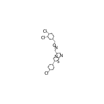 Clc1ccc(-c2cn3c(C=NOCc4ccc(Cl)c(Cl)c4)cnc3s2)cc1